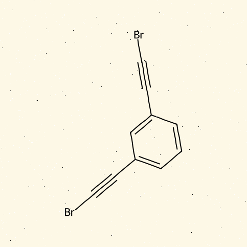 BrC#Cc1cccc(C#CBr)c1